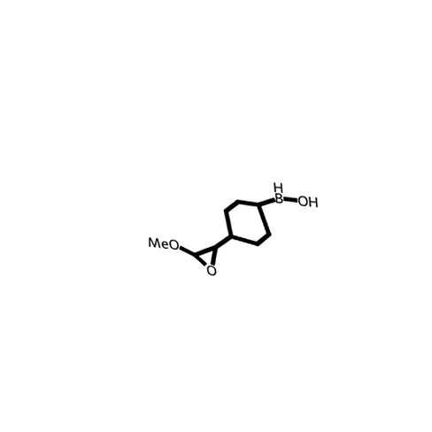 COC1OC1C1CCC(BO)CC1